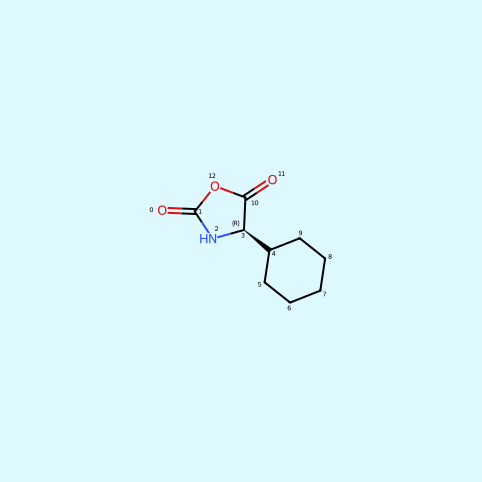 O=C1N[C@H](C2CCCCC2)C(=O)O1